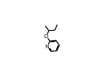 CCC(C)Oc1ccccn1